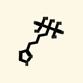 O=P(O)(O)C(O)(CCCCc1nc[nH]n1)P(=O)(O)O